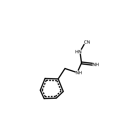 N#CNC(=N)NCc1ccccc1